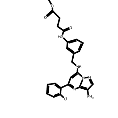 Bc1cnn2c(NCc3cccc(NC(=O)CCC(=O)OC)c3)cc(-c3ccccc3Cl)nc12